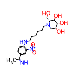 CC(=N)c1ccc(NCCCCCCN2C[C@H](O)[C@@H](O)[C@H](O)[C@H]2CO)c([N+](=O)[O-])c1